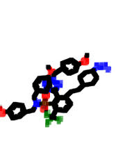 COc1ccc(CN(Cc2ccc(OC)cc2)S(=O)(=O)c2c(C(F)(F)F)ccc(CCC3CCC(N)CC3)c2-c2nnn(Cc3ccc(OC)cc3)n2)cc1